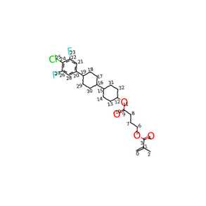 C=C(C)C(=O)OCCCC(=O)OC1CCC(C2CCC(c3cc(F)c(Cl)c(F)c3)CC2)CC1